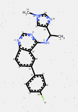 CC(Nc1ncnc2ccc(-c3ccc(F)cc3)cc12)c1cn(C)cn1